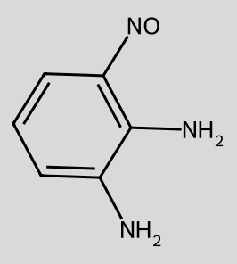 Nc1cccc(N=O)c1N